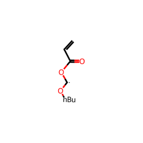 C=CC(=O)O[CH]OCCCC